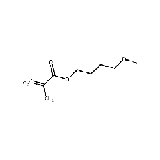 C=C(C)C(=O)OCCCCOI